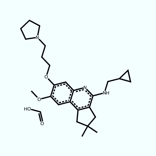 COc1cc2c3c(c(NCC4CC4)nc2cc1OCCCN1CCCC1)CC(C)(C)C3.O=CO